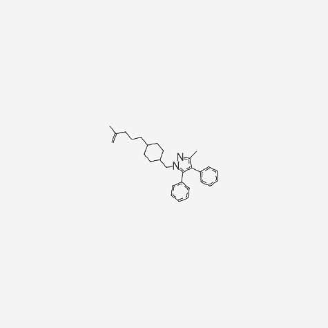 C=C(C)CCCC1CCC(Cn2nc(C)c(-c3ccccc3)c2-c2ccccc2)CC1